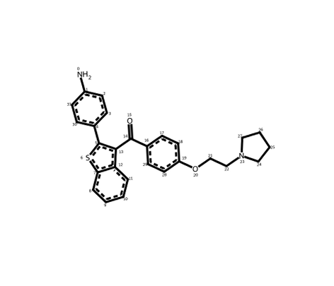 Nc1ccc(-c2sc3ccccc3c2C(=O)c2ccc(OCCN3CCCC3)cc2)cc1